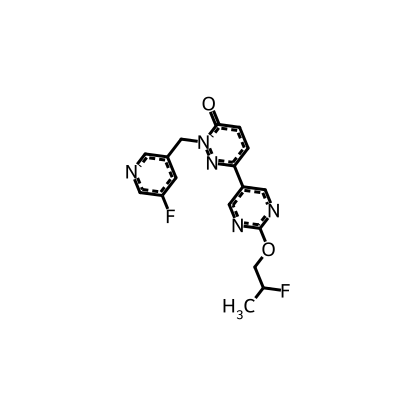 CC(F)COc1ncc(-c2ccc(=O)n(Cc3cncc(F)c3)n2)cn1